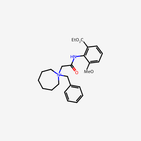 CCOC(=O)c1cccc(OC)c1NC(=O)C[N+]1(Cc2ccccc2)CCCCCC1